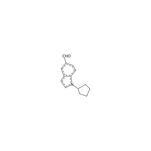 O=Cc1ccc2c(ccn2C2CCCC2)c1